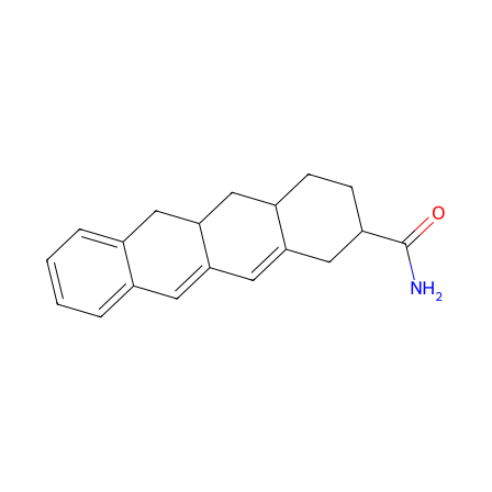 NC(=O)C1CCC2CC3Cc4ccccc4C=C3C=C2C1